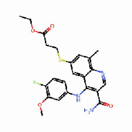 CCOC(=O)CCSc1cc(C)c2ncc(C(N)=O)c(Nc3ccc(F)c(OC)c3)c2c1